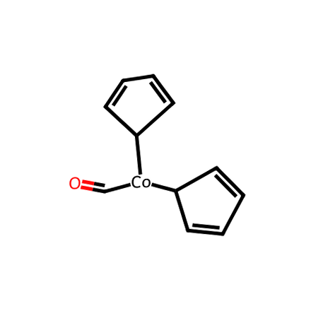 O=[CH][Co]([CH]1C=CC=C1)[CH]1C=CC=C1